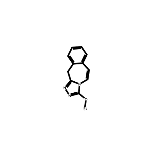 CCOc1nnc2n1C=Cc1ccccc1C2